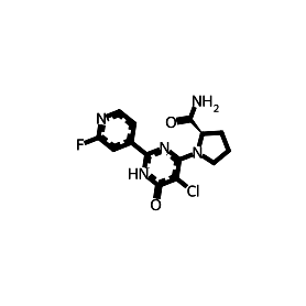 NC(=O)[C@H]1CCCN1c1nc(-c2ccnc(F)c2)[nH]c(=O)c1Cl